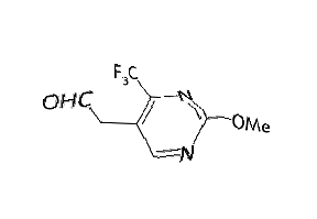 COc1ncc(CC=O)c(C(F)(F)F)n1